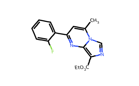 CCOC(=O)c1ncn2c(C)cc(-c3ccccc3F)nc12